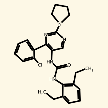 CCc1cccc(CC)c1NC(=O)Nc1cnc(N2CCCC2)nc1-c1ccccc1Cl